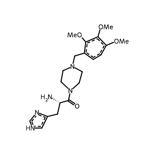 COc1ccc(CN2CCN(C(=O)[C@@H](N)Cc3c[nH]cn3)CC2)c(OC)c1OC